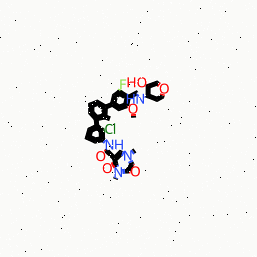 COc1cc(-c2cccc(-c3cccc(NC(=O)C4=CN(C)C5OC5N(C)C4=O)c3Cl)c2C)cc(F)c1CN[C@H]1CCOC[C@@H]1O